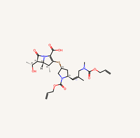 C=CCOC(=O)N(C)C/C(C)=C\[C@@H]1C[C@H](SC2=C(C(=O)O)N3C(=O)[C@H]([C@@H](C)O)[C@H]3[C@H]2C)CN1C(=O)OCC=C